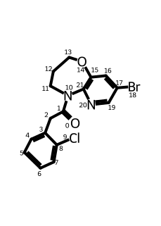 O=C(Cc1ccccc1Cl)N1CCCOc2cc(Br)cnc21